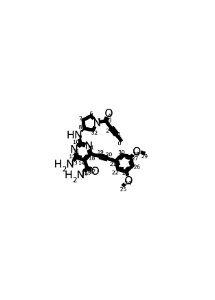 CC#CC(=O)N1CC[C@H](Nc2nc(N)c(C(N)=O)c(C#Cc3cc(OC)cc(OC)c3)n2)C1